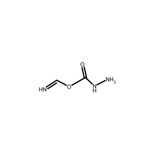 N=COC(=O)NN